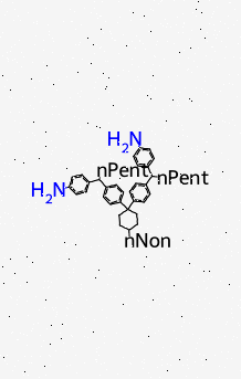 CCCCCCCCCC1CCC(c2ccc(C(CCCCC)c3ccc(N)cc3)cc2)(c2ccc(C(CCCCC)c3ccc(N)cc3)cc2)CC1